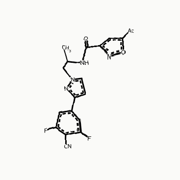 CC(=O)c1cc(C(=O)NC(C)Cn2ccc(-c3cc(F)c(C#N)c(F)c3)n2)no1